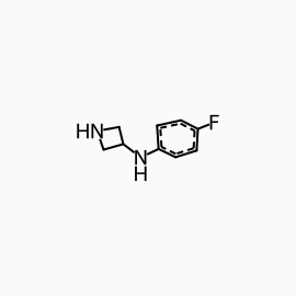 Fc1ccc(NC2CNC2)cc1